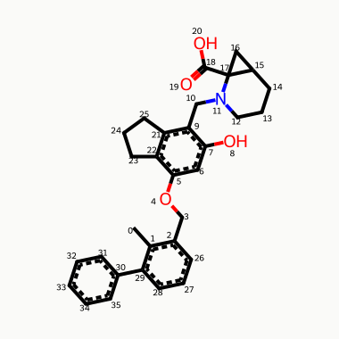 Cc1c(COc2cc(O)c(CN3CCCC4CC43C(=O)O)c3c2CCC3)cccc1-c1ccccc1